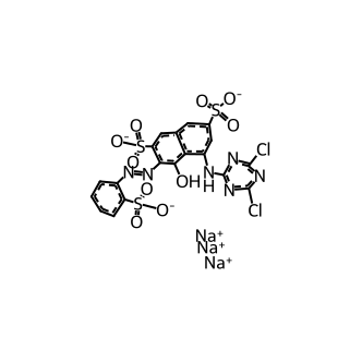 O=S(=O)([O-])c1cc(Nc2nc(Cl)nc(Cl)n2)c2c(O)c(N=Nc3ccccc3S(=O)(=O)[O-])c(S(=O)(=O)[O-])cc2c1.[Na+].[Na+].[Na+]